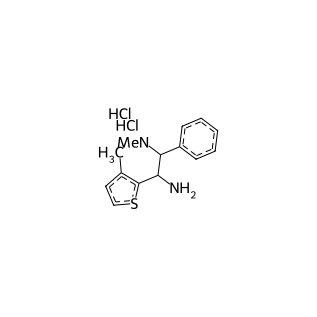 CNC(c1ccccc1)C(N)c1sccc1C.Cl.Cl